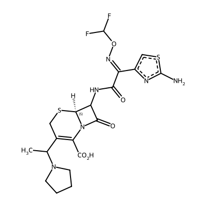 CC(C1=C(C(=O)O)N2C(=O)C(NC(=O)C(=NOC(F)F)c3csc(N)n3)[C@@H]2SC1)N1CCCC1